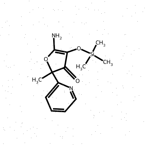 CC1(c2ccccn2)OC(N)=C(O[Si](C)(C)C)C1=O